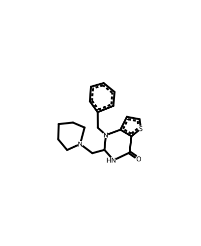 O=C1NC(CN2CCCCC2)N(Cc2ccccc2)c2ccsc21